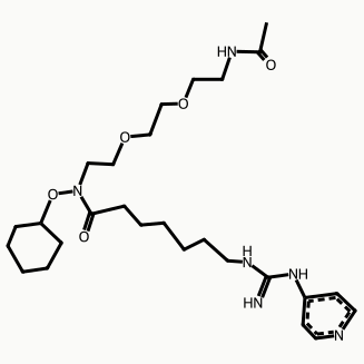 CC(=O)NCCOCCOCCN(OC1CCCCC1)C(=O)CCCCCCNC(=N)Nc1ccncc1